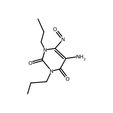 CCCn1c(N=O)c(N)c(=O)n(CCC)c1=O